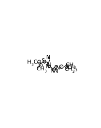 CCOC(OCC)c1cc(C(CC#N)n2cc(-c3ncnc4c3ccn4COCC[Si](C)(C)C)cn2)cs1